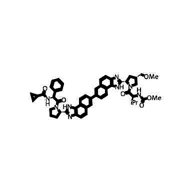 COC[C@H]1C[C@@H](c2nc3ccc4cc(-c5ccc6c(ccc7nc([C@@H]8CCCN8C(=O)[C@H](NC(=O)C8CC8)c8ccccc8)[nH]c76)c5)ccc4c3[nH]2)N(C(=O)[C@@H](NC(=O)OC)C(C)C)C1